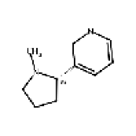 CN1CCC[C@H]1C1=CC=C[N]C1